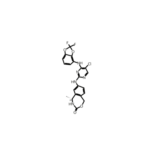 C[C@H]1NC(=O)OCc2ccc(Nc3ncc(Cl)c(Nc4cccc5c4OC(F)(F)O5)n3)cc21